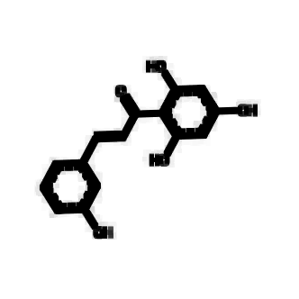 O=C(C=Cc1cccc(O)c1)c1c(O)cc(O)cc1O